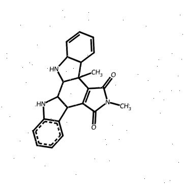 CN1C(=O)C2=C(C1=O)C1(C)C3C=CC=CC3NC1C1Nc3ccccc3C21